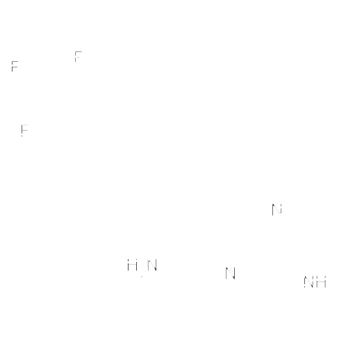 CCCCc1nc(N)nc(N)c1-c1ccc(C(F)(F)F)cc1